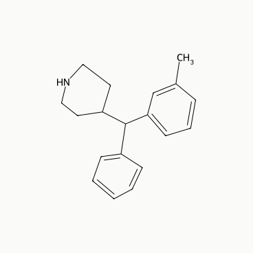 Cc1cccc(C(c2ccccc2)C2CCNCC2)c1